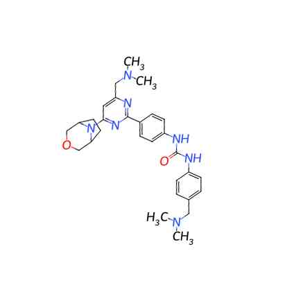 CN(C)Cc1ccc(NC(=O)Nc2ccc(-c3nc(CN(C)C)cc(N4C5CCC4COC5)n3)cc2)cc1